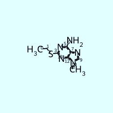 CCSc1nc(N)c2ncn(C)c2n1